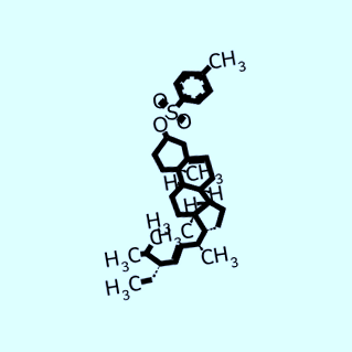 CC[C@@H](/C=C/[C@@H](C)[C@H]1CC[C@H]2[C@@H]3CC=C4CC(OS(=O)(=O)c5ccc(C)cc5)CC[C@]4(C)[C@H]3CC[C@]12C)C(C)C